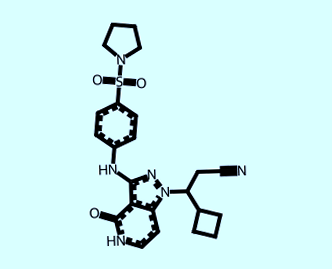 N#CCC(C1CCC1)n1nc(Nc2ccc(S(=O)(=O)N3CCCC3)cc2)c2c(=O)[nH]ccc21